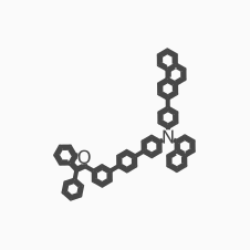 c1ccc(-c2c(-c3cccc(-c4ccc(-c5ccc(N(c6ccc(-c7ccc8c(ccc9ccccc98)c7)cc6)c6cccc7ccccc67)cc5)cc4)c3)oc3ccccc23)cc1